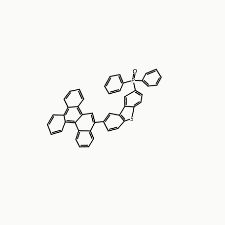 O=P(c1ccccc1)(c1ccccc1)c1ccc2sc3ccc(-c4cc5c6ccccc6c6ccccc6c5c5ccccc45)cc3c2c1